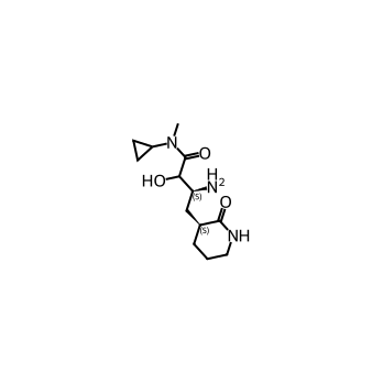 CN(C(=O)C(O)[C@@H](N)C[C@@H]1CCCNC1=O)C1CC1